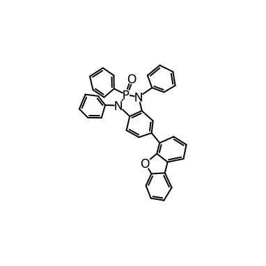 O=P1(c2ccccc2)N(c2ccccc2)c2ccc(-c3cccc4c3oc3ccccc34)cc2N1c1ccccc1